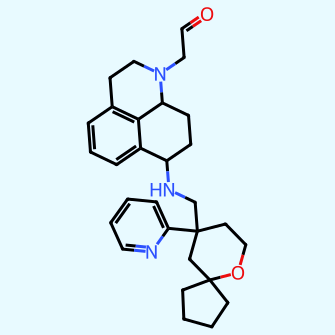 O=CCN1CCc2cccc3c2C1CCC3NCC1(c2ccccn2)CCOC2(CCCC2)C1